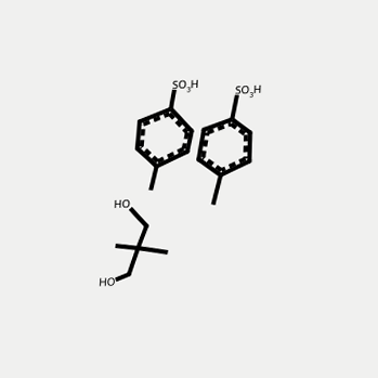 CC(C)(CO)CO.Cc1ccc(S(=O)(=O)O)cc1.Cc1ccc(S(=O)(=O)O)cc1